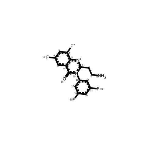 NCCc1nc2c(F)cc(F)cc2c(=O)n1-c1cc(F)cc(F)c1